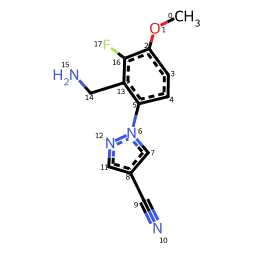 COc1ccc(-n2cc(C#N)cn2)c(CN)c1F